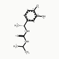 CC(C)NC(=O)N[C@H](C)c1ccc(Cl)c(O)c1